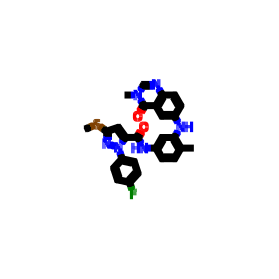 CSc1cc(C(=O)Nc2ccc(C)c(Nc3ccc4ncn(C)c(=O)c4c3)c2)n(-c2ccc(F)cc2)n1